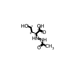 CC(=O)NN[C@@H](CCO)C(=O)O